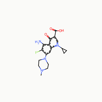 CN1CCN(c2cc3c(c(N)c2F)c(=O)c(C(=O)O)cn3C2CC2)CC1